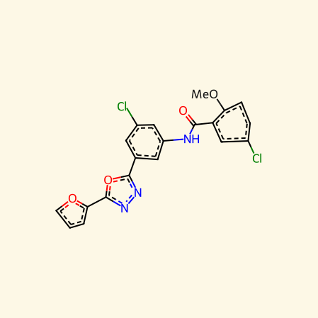 COc1ccc(Cl)cc1C(=O)Nc1cc(Cl)cc(-c2nnc(-c3ccco3)o2)c1